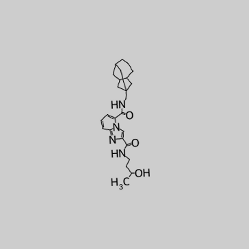 CC(O)CCNC(=O)c1cn2c(C(=O)NCC34CC5CCCC(C3)C(C5)C4)cccc2n1